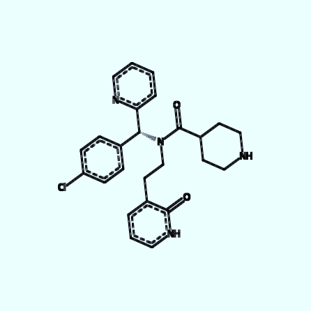 O=C(C1CCNCC1)N(CCc1ccc[nH]c1=O)[C@H](c1ccc(Cl)cc1)c1ccccn1